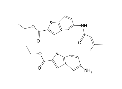 CCOC(=O)c1cc2cc(N)ccc2s1.CCOC(=O)c1cc2cc(NC(=O)C=C(C)C)ccc2s1